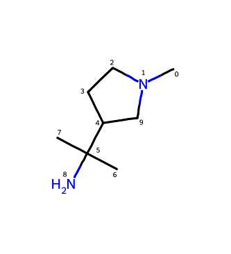 CN1CCC(C(C)(C)N)C1